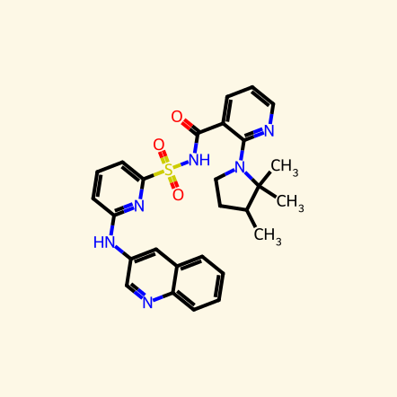 CC1CCN(c2ncccc2C(=O)NS(=O)(=O)c2cccc(Nc3cnc4ccccc4c3)n2)C1(C)C